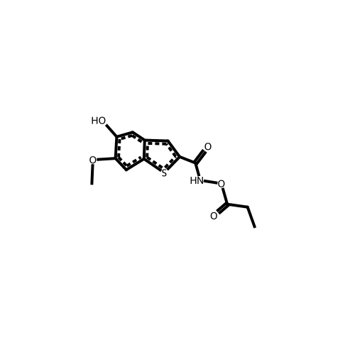 CCC(=O)ONC(=O)c1cc2cc(O)c(OC)cc2s1